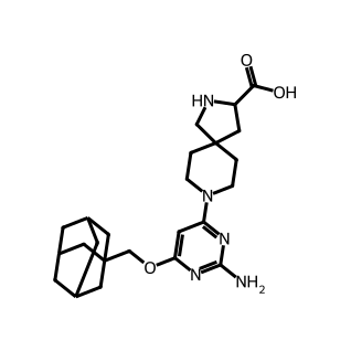 Nc1nc(OCC23CC4CC(CC(C4)C2)C3)cc(N2CCC3(CC2)CNC(C(=O)O)C3)n1